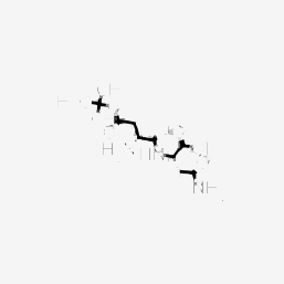 CC(C)(C)OC(=O)C[C@H](N)C(=O)N[C@@H](CC(N)=O)C(=O)O